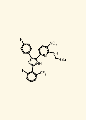 CC(C)(C)CNc1nc(-c2[nH]c(-c3c(F)cccc3C(F)(F)F)nc2-c2ccc(F)cc2)ccc1[N+](=O)[O-]